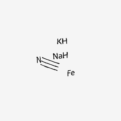 C#N.[Fe].[KH].[NaH]